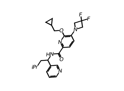 CC(C)CC(NC(=O)c1ccc(N2CC(F)(F)C2)c(OCC2CC2)n1)c1cccnc1